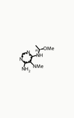 CNc1c(N)ncnc1N[C@@H](C)OC